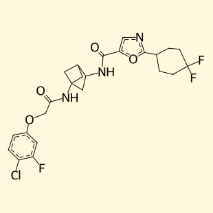 O=C(COc1ccc(Cl)c(F)c1)NC12CC(C1)C(NC(=O)c1cnc(C3CCC(F)(F)CC3)o1)C2